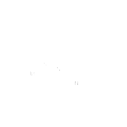 [CH2]CSn1cnc2ccccc21